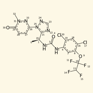 C[C@H](NC(=O)Nc1cc(OC(F)(F)C(F)F)c(Cl)cc1Cl)c1ncnn1-c1ccc(=O)n(C)n1